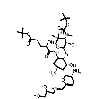 CN(C(=O)OC(C)(C)C)[C@@H]1[C@@H](O)[C@@H](O[C@H]2[C@H](NC(=O)[C@H](O)CNC(=O)OC(C)(C)C)C[C@H](N)C([C@H]3OC(CNCC(O)CO)=CC[C@H]3N)[C@@H]2O)OC[C@]1(C)O